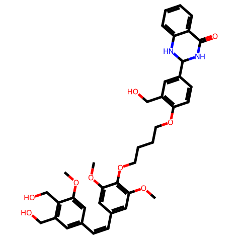 COc1cc(/C=C\c2cc(OC)c(OCCCCOc3ccc(C4NC(=O)c5ccccc5N4)cc3CO)c(OC)c2)cc(CO)c1CO